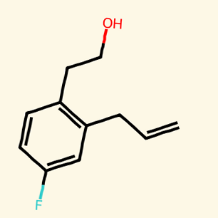 C=CCc1cc(F)ccc1CCO